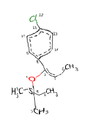 C/C=C(/O[Si](C)(C)C)c1ccc(Cl)cc1